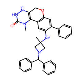 CN1C(=O)NNC2=C1c1cc(NC3(C)CN(C(c4ccccc4)c4ccccc4)C3)c(-c3ccccc3)cc1OC2